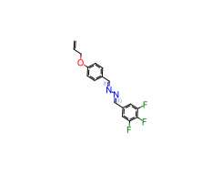 C=CCOc1ccc(/C=N/N=C/c2cc(F)c(F)c(F)c2)cc1